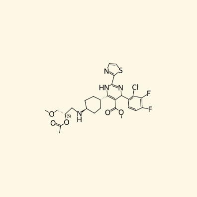 COC[C@H](CN[C@H]1CC[C@H](C2=C(C(=O)OC)C(c3ccc(F)c(F)c3Cl)N=C(c3nccs3)N2)CC1)OC(C)=O